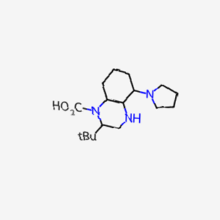 CC(C)(C)C1CNC2C(N3CCCC3)CCCC2N1C(=O)O